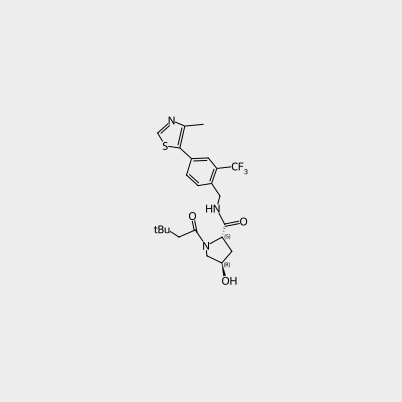 Cc1ncsc1-c1ccc(CNC(=O)[C@@H]2C[C@@H](O)CN2C(=O)CC(C)(C)C)c(C(F)(F)F)c1